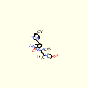 C=N/C(=C\C=C(/C)N1CCC(O)CC1)Nc1ccc(-c2cnc3cc(C#N)ccn23)c2c1C(=O)NC2